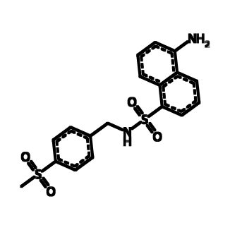 CS(=O)(=O)c1ccc(CNS(=O)(=O)c2cccc3c(N)cccc23)cc1